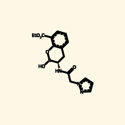 CCOC(=O)c1cccc2c1OB(O)[C@@H](NC(=O)Cn1cccn1)C2